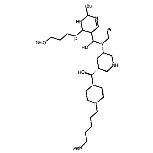 CNCCCCCN1CCN(C(O)[C@H]2CNC[C@@H](N(CC(C)C)C(O)C3C=NC(C(C)(C)C)NC3NCCCOC)C2)CC1